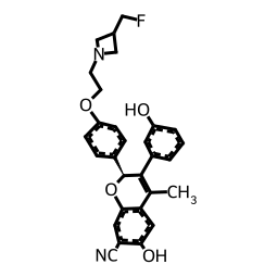 CC1=C(c2cccc(O)c2)[C@H](c2ccc(OCCN3CC(CF)C3)cc2)Oc2cc(C#N)c(O)cc21